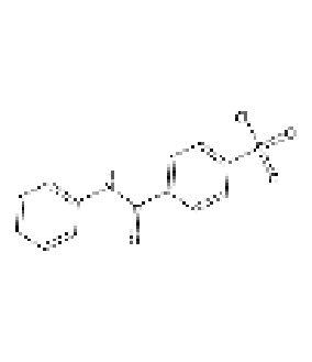 O=C(Nc1ccccc1)c1ccc(S(=O)(=O)Cl)cc1